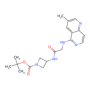 Cc1cnc2ccnc(NCC(=O)NC3CN(C(=O)OC(C)(C)C)C3)c2c1